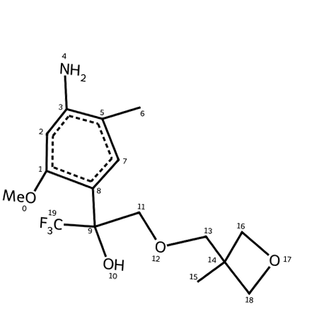 COc1cc(N)c(C)cc1C(O)(COCC1(C)COC1)C(F)(F)F